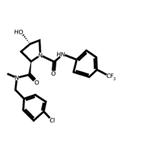 CN(Cc1ccc(Cl)cc1)C(=O)[C@H]1C[C@H](O)CN1C(=O)Nc1ccc(C(F)(F)F)cc1